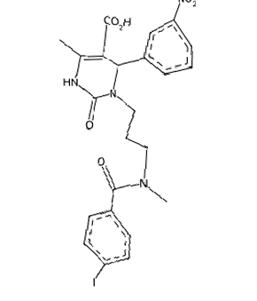 CC1=C(C(=O)O)C(c2cccc([N+](=O)[O-])c2)N(CCCN(C)C(=O)c2ccc(I)cc2)C(=O)N1